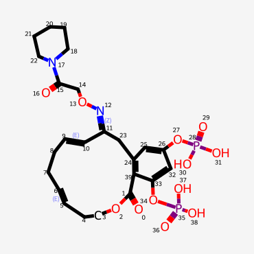 O=C1OCC/C=C/CC/C=C/C(=N\OCC(=O)N2CCCCC2)Cc2cc(OP(=O)(O)O)cc(OP(=O)(O)O)c21